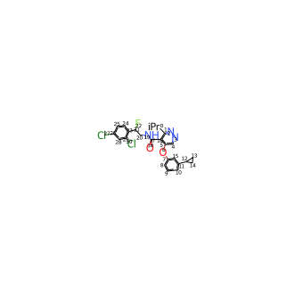 CC(C)c1nncc(Oc2cccc(C3CC3)c2)c1C(=O)NC[C@H](F)c1ccc(Cl)cc1Cl